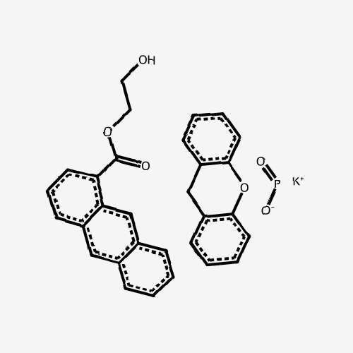 O=C(OCCO)c1cccc2cc3ccccc3cc12.O=P[O-].[K+].c1ccc2c(c1)Cc1ccccc1O2